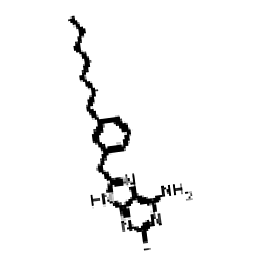 CCCCCCCc1cccc(Cc2nc3c(N)nc(F)nc3[nH]2)c1